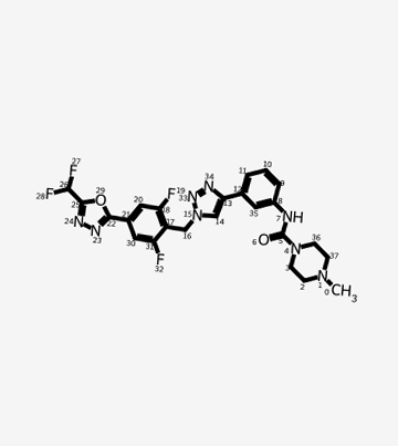 CN1CCN(C(=O)Nc2cccc(-c3cn(Cc4c(F)cc(-c5nnc(C(F)F)o5)cc4F)nn3)c2)CC1